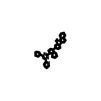 CC1(C)c2cc(-c3ccc(-c4nc(-c5ccccc5)cc(-c5ccccn5)n4)c4ccccc34)ccc2-c2ccc3ccccc3c21